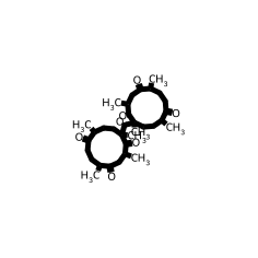 CC1CCC(C)(C(=O)C2(C)CCC(C)C(=O)CCC(C)C(=O)CC(C)C2=O)C(=O)C(C)CC(=O)C(C)CCC1=O